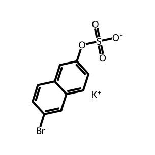 O=S(=O)([O-])Oc1ccc2cc(Br)ccc2c1.[K+]